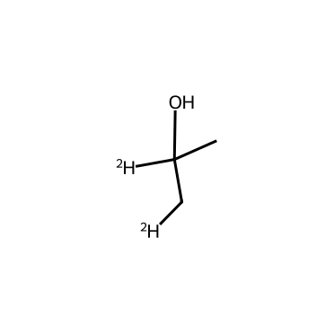 [2H]CC([2H])(C)O